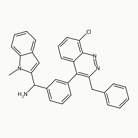 Cn1c(C(N)c2cccc(-c3c(Cc4ccccc4)nnc4c(Cl)cccc34)c2)cc2ccccc21